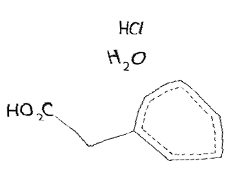 Cl.O.O=C(O)Cc1ccccc1